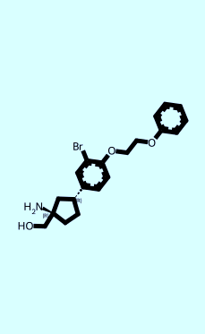 N[C@]1(CO)CC[C@@H](c2ccc(OCCOc3ccccc3)c(Br)c2)C1